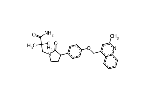 Cc1cc(COc2ccc(C3CCN(CC(C)(C)C(N)=O)C3=O)cc2)c2ccccc2n1